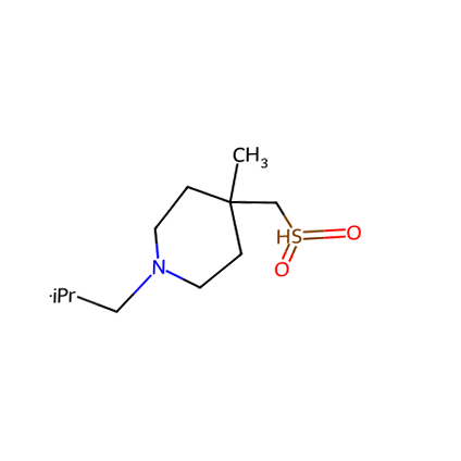 C[C](C)CN1CCC(C)(C[SH](=O)=O)CC1